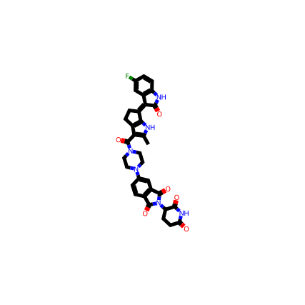 Cc1[nH]c2c(c1C(=O)N1CCN(c3ccc4c(c3)C(=O)N(C3CCC(=O)NC3=O)C4=O)CC1)CC/C2=C1/C(=O)Nc2ccc(F)cc21